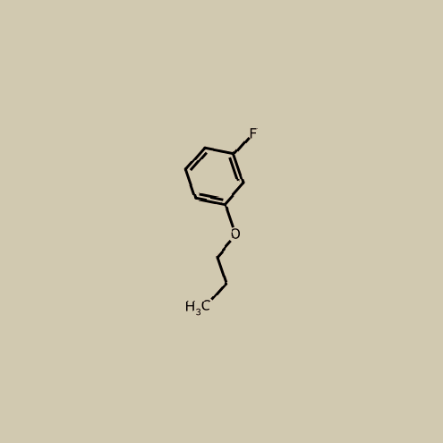 CCCOc1cccc(F)c1